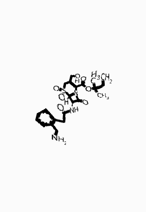 C=CC(C)(C)OC(=O)C1=C(CO)CS(=O)(=O)[C@H]2[C@@H](NC(=O)Cc3ccccc3CN)C(=O)N12